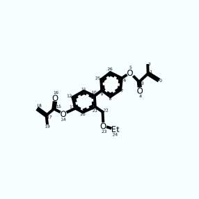 C=C(C)C(=O)Oc1ccc(-c2ccc(OC(=O)C(=C)C)cc2COCC)cc1